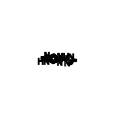 Cc1cnc(-c2nc3cc4[nH]c(C)nc4cc3[nH]2)cn1